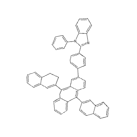 C1=C(c2c3ccccc3c(-c3ccc4ccccc4c3)c3ccc(-c4ccc(-c5nc6ccccc6n5-c5ccccc5)cc4)cc23)CCc2ccccc21